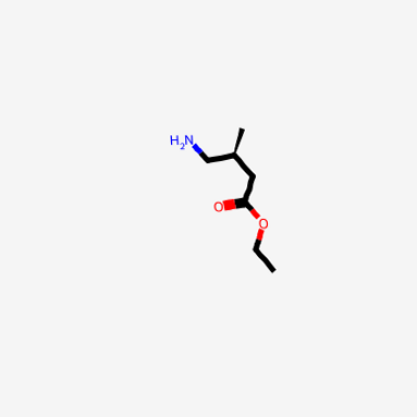 CCOC(=O)C[C@H](C)CN